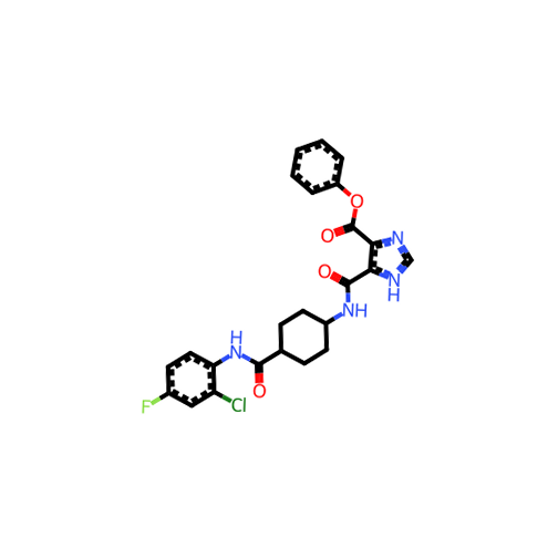 O=C(Oc1ccccc1)c1nc[nH]c1C(=O)NC1CCC(C(=O)Nc2ccc(F)cc2Cl)CC1